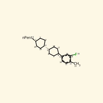 CCCCC[C@H]1CC[C@H](C2CCC(c3ccc(C)c(F)c3)CC2)CC1